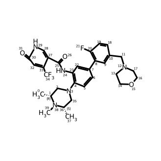 C[C@@H]1CN(c2ccc(-c3cc(CN4CCOCC4)ccc3F)cc2NC(=O)c2c[nH]c(=O)cc2C(F)(F)F)C[C@H](C)N1C